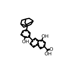 O=C(O)c1cc(O)c2cc(-c3cc(C45CC6CC(CC(C6)C4)C5)ccc3O)ccc2c1